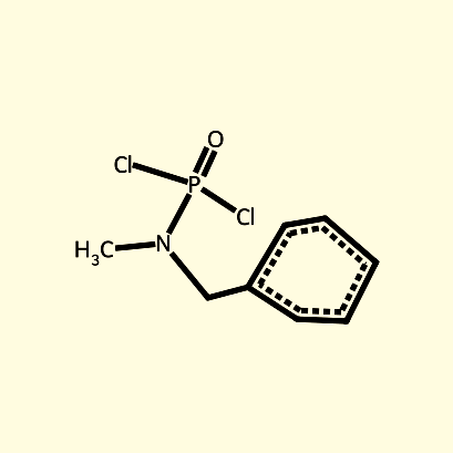 CN(Cc1ccccc1)P(=O)(Cl)Cl